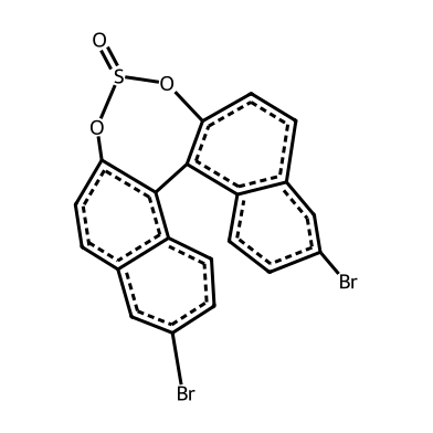 O=S1Oc2ccc3cc(Br)ccc3c2-c2c(ccc3cc(Br)ccc23)O1